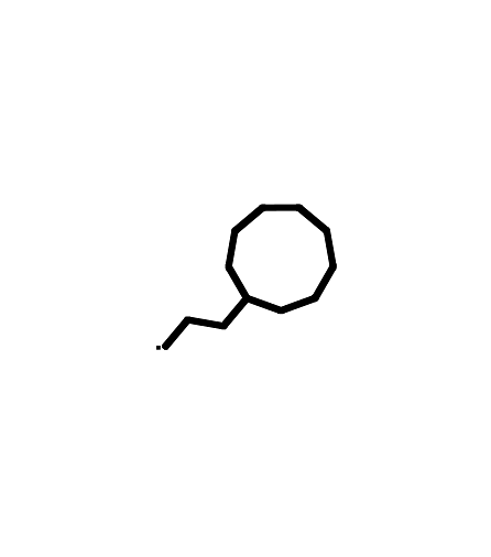 [CH2]CCC1CCCCCCCC1